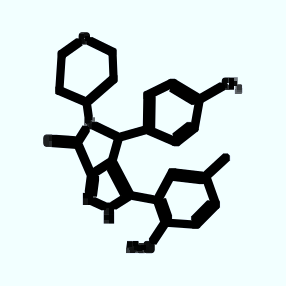 COc1ccc(C)cc1-c1[nH]nc2c1C(c1ccc(C(F)(F)F)cc1)N(C1CCOCC1)C2=O